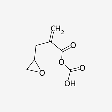 C=C(CC1CO1)C(=O)OC(=O)O